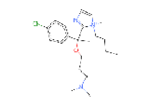 CCCC[N+]1(C)C=CN=C1C(C)(OCCCN(C)C)c1ccc(Cl)cc1